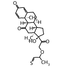 CC(C=S)OCC(=O)[C@@]1(O)CC[C@H]2[C@@H]3CCC4=CC(=O)C=C[C@]4(C)[C@H]3C(=O)C[C@@]21C